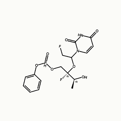 C[C@H](O)[C@@](F)(CO[PH](=O)Oc1ccccc1)OC(CF)n1ccc(=O)[nH]c1=O